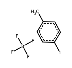 Cc1ccc(I)cc1.F[B-](F)(F)F